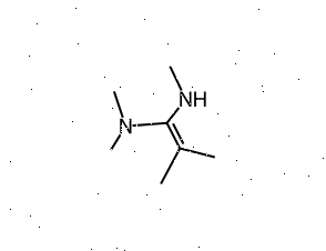 CNC(=C(C)C)N(C)C